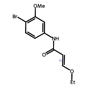 CCO/C=C/C(=O)Nc1ccc(Br)c(OC)c1